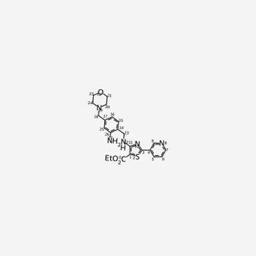 CCOC(=O)c1sc(-c2cccnc2)nc1NCc1ccc(CN2CCOCC2)cc1N